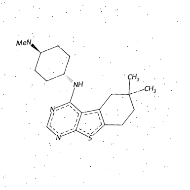 CN[C@H]1CC[C@H](Nc2ncnc3sc4c(c23)CC(C)(C)CC4)CC1